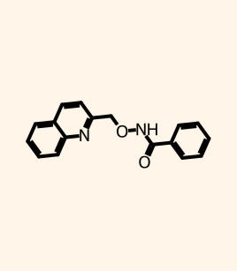 O=C(NOCc1ccc2ccccc2n1)c1ccccc1